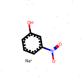 O=[N+]([O-])c1cccc(O)c1.[Na+]